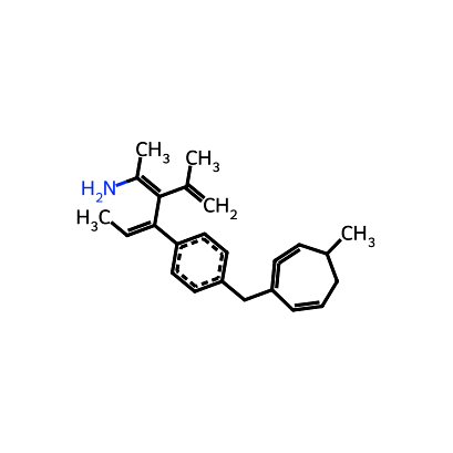 C=C(C)C(/C(=C\C)c1ccc(CC2=C=CC(C)CC=C2)cc1)=C(\C)N